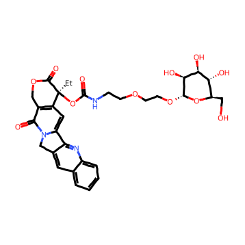 CC[C@@]1(OC(=O)NCCOCCO[C@H]2O[C@H](CO)[C@@H](O)[C@H](O)[C@@H]2O)C(=O)OCc2c1cc1n(c2=O)Cc2cc3ccccc3nc2-1